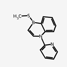 CSB1C=CN(c2ccccn2)c2ccccc21